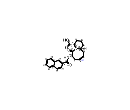 O=C(N[C@H]1C/C=C\C[C@H]2CCC[C@@H](C(=O)O)N2C1=O)c1ccc2ccccc2c1